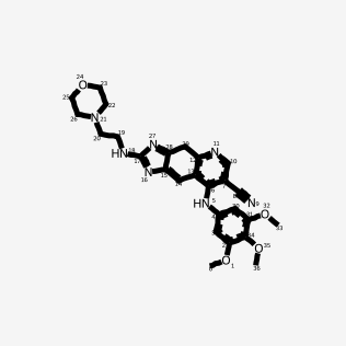 COc1cc(Nc2c(C#N)cnc3c2C=C2N=C(NCCN4CCOCC4)N=C2C3)cc(OC)c1OC